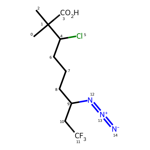 CC(C)(C(=O)O)C(Cl)CCCC(CC(F)(F)F)N=[N+]=[N-]